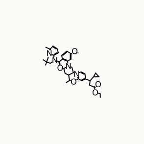 CCOC(=O)CC(c1ccnc(OC(C)C2CCN(c3cc(OC)ccc3C(=O)N(CC(C)(C)C)c3cccc(C)n3)CC2)c1)C1CC1